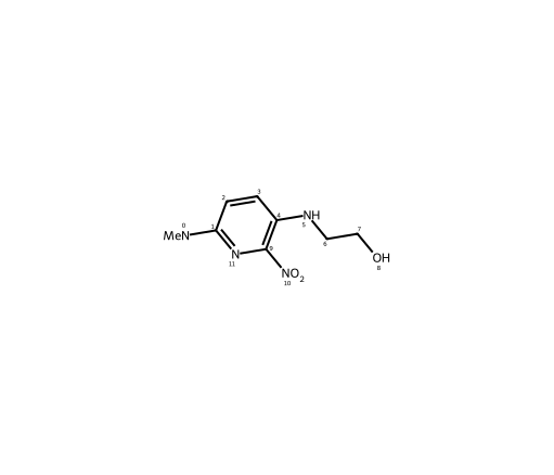 CNc1ccc(NCCO)c([N+](=O)[O-])n1